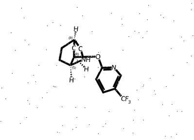 FC(F)(F)c1ccc(O[C@@H]2C[C@H]3CC[C@@H]2NC3)nc1